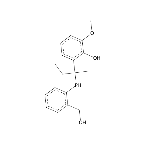 CCC(C)(Pc1ccccc1CO)c1cccc(OC)c1O